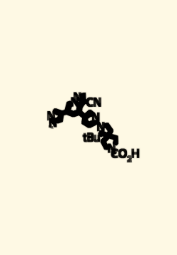 Cn1cc(-c2cc(-c3ccc(N4CCC5(CCN(C(=O)O)CC5)C4C(C)(C)C)nc3)c3c(C#N)cnn3c2)cn1